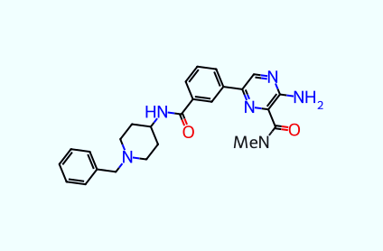 CNC(=O)c1nc(-c2cccc(C(=O)NC3CCN(Cc4ccccc4)CC3)c2)cnc1N